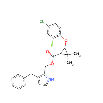 CC1(C)C(Oc2ccc(Cl)cc2F)C1C(=O)OCc1[nH]ccc1Cc1ccccc1